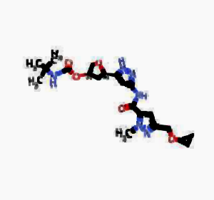 Cn1nc(COC2CC2)cc1C(=O)Nc1cc([C@H]2C[C@@H](OC(=O)NC(C)(C)C)CO2)[nH]n1